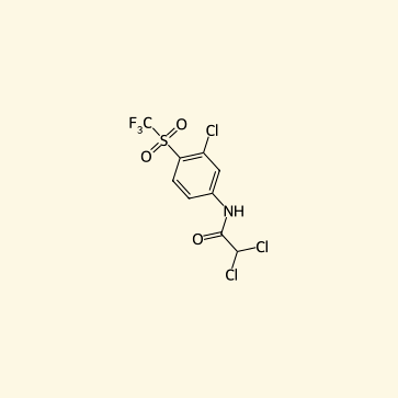 O=C(Nc1ccc(S(=O)(=O)C(F)(F)F)c(Cl)c1)C(Cl)Cl